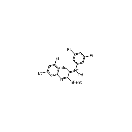 CCCCCC(=Nc1cc(CC)cc(CC)c1)C(CCCC)=[N+]([Pd])c1cc(CC)cc(CC)c1